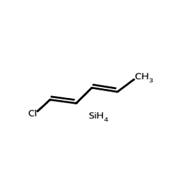 CC=CC=CCl.[SiH4]